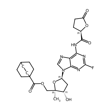 C[C@]1(COC(=O)C23CCC(CC2)CC3)O[C@@H](n2cnc3c(NC(=O)[C@H]4CCC(=O)O4)nc(F)nc32)C[C@@H]1O